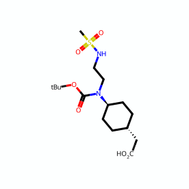 CC(C)(C)OC(=O)N(CCNS(C)(=O)=O)[C@H]1CC[C@H](CC(=O)O)CC1